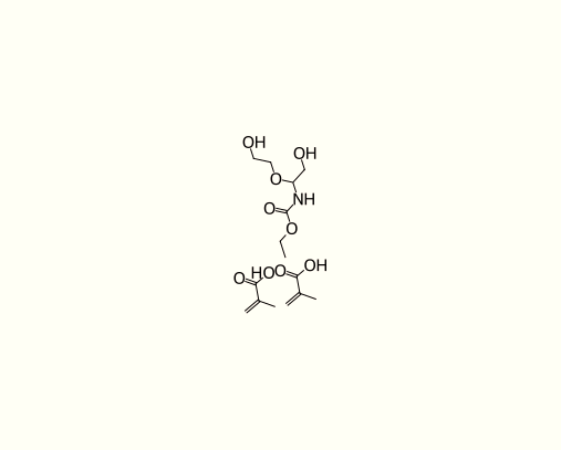 C=C(C)C(=O)O.C=C(C)C(=O)O.CCOC(=O)NC(CO)OCCO